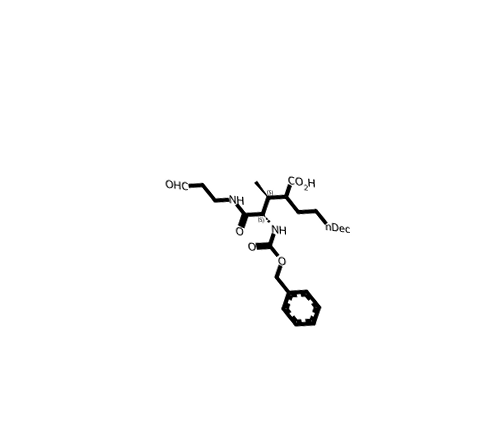 CCCCCCCCCCCCC(C(=O)O)[C@H](C)[C@H](NC(=O)OCc1ccccc1)C(=O)NCCC=O